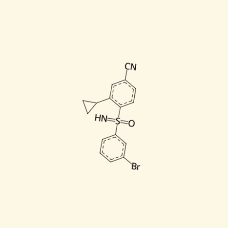 N#Cc1ccc(S(=N)(=O)c2cccc(Br)c2)c(C2CC2)c1